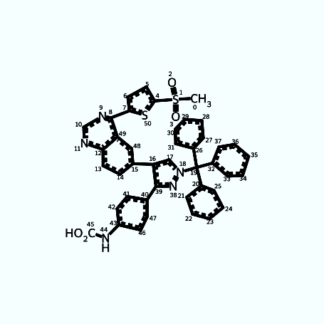 CS(=O)(=O)c1ccc(-c2ncnc3ccc(-c4cn(C(c5ccccc5)(c5ccccc5)c5ccccc5)nc4-c4ccc(NC(=O)O)cc4)cc23)s1